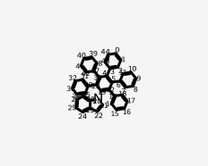 c1ccc(-c2c(-c3ccccc3)c(-c3ccccc3)c(-n3ccc4ccccc43)c(-c3ccccc3)c2-c2ccccc2)cc1